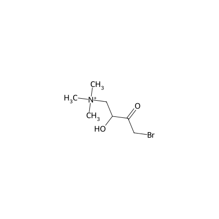 C[N+](C)(C)CC(O)C(=O)CBr